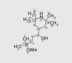 CO[Si](C)(C)CCC(O)C1CC(C)(C)NC(C)(C)C1